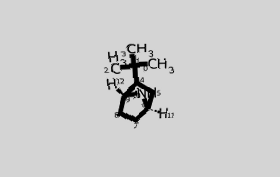 CC(C)(C)C1C[C@H]2CC[C@H]1N2